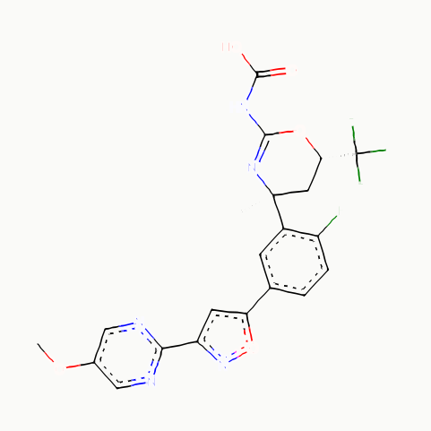 COc1cnc(-c2cc(-c3ccc(F)c([C@]4(C)C[C@@H](C(F)(F)F)OC(NC(=O)O)=N4)c3)on2)nc1